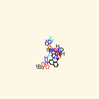 C#Cc1cccc2cc(NC(=O)OC(C)(C)C)cc(-c3nc4c5c(nc(OC[C@@]67CCCN6CC(F)(F)C7)nc5c3F)N3C[C@H]5CC[C@@H]([C@H]3[C@H](C)O4)N5C(=O)OC(C)(C)C)c12